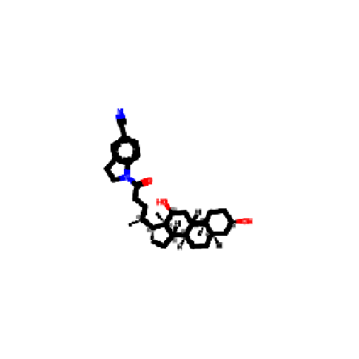 C[C@H](CCC(=O)N1CCc2cc(C#N)ccc21)[C@H]1CC[C@H]2[C@@H]3CC[C@@H]4C[C@H](O)CC[C@]4(C)[C@H]3C[C@H](O)[C@]12C